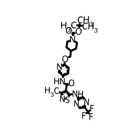 Cc1nsc(Nc2cnc(C(F)(F)F)cn2)c1C(=O)Nc1ccc(OCC2CCN(C(=O)OC(C)(C)C)CC2)nc1